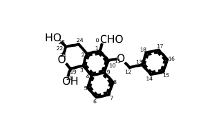 O=Cc1c2c(c3ccccc3c1OCc1ccccc1)C(O)OC(O)C2